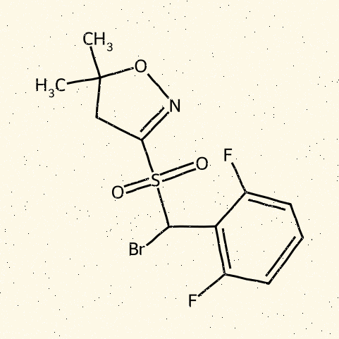 CC1(C)CC(S(=O)(=O)C(Br)c2c(F)cccc2F)=NO1